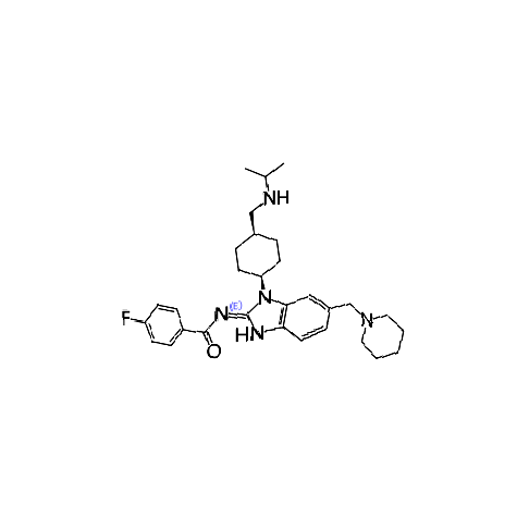 CC(C)NC[C@H]1CC[C@@H](n2/c(=N/C(=O)c3ccc(F)cc3)[nH]c3ccc(CN4CCCCC4)cc32)CC1